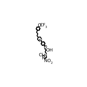 O=[N+]([O-])c1cn(CCC(O)COc2ccc(N3CCC(CCCc4ccc(OC(F)(F)F)cc4)CC3)cc2)c(Cl)n1